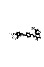 Cc1ccc(CNC2CCN(CCn3c(=O)cnc4ncc(C#N)cc43)CC2)cc1[N+](=O)[O-]